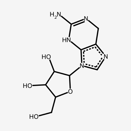 NC1=NCc2ncn(C3OC(CO)C(O)C3O)c2N1